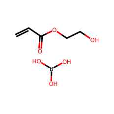 C=CC(=O)OCCO.OB(O)O